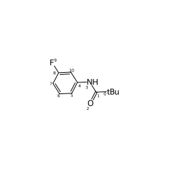 CC(C)(C)C(=O)Nc1cccc(F)c1